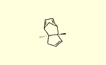 C[C@@]12C=CC[C@@]1(C)C1=CC=C2C1